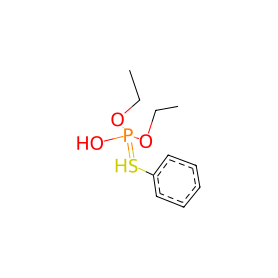 CCOP(O)(OCC)=[SH]c1ccccc1